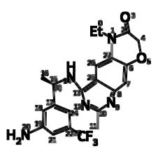 CCN1C(=O)COc2cc3nc(C)nc(N[C@H](C)c4cc(N)cc(C(F)(F)F)c4)c3cc21